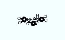 Cc1ccc(C(=O)Nc2ccc(Cl)c(Cl)c2)cc1S(=O)(=O)Nc1ccc(Cl)c(Cl)c1